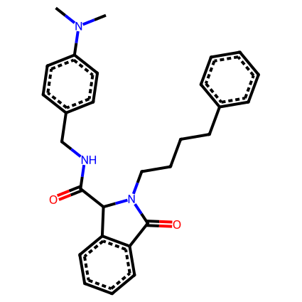 CN(C)c1ccc(CNC(=O)C2c3ccccc3C(=O)N2CCCCc2ccccc2)cc1